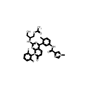 Cc1ccc(NC(=O)c2cn(C)cn2)cc1-c1nc(NC(CO)COC(=O)C(F)(F)F)nc2c1ccc(=O)n2-c1c(F)cccc1F